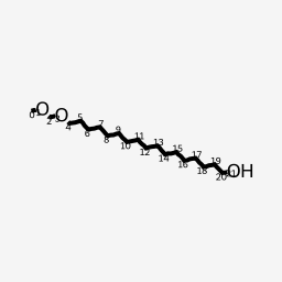 COCOCCCCCCCCCCCCCCCCCO